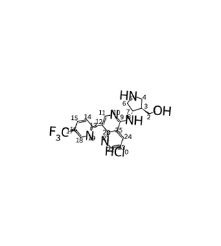 Cl.OC[C@@H]1CNC[C@H]1Nc1ncc(-c2ccc(C(F)(F)F)cn2)c2ncccc12